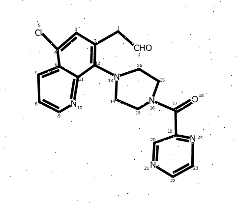 O=CCc1cc(Cl)c2cccnc2c1N1CCN(C(=O)c2cnccn2)CC1